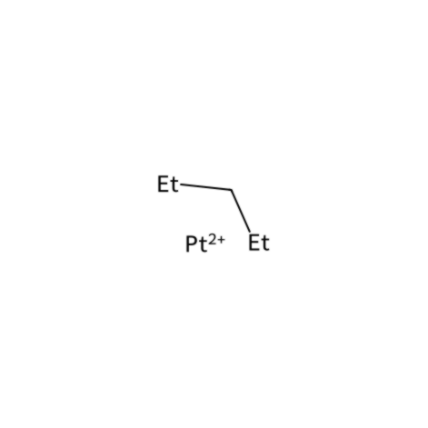 [CH2-]CCC[CH2-].[Pt+2]